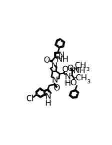 CNC(=O)[C@@H](NC(=O)C1CN(C(=O)Cc2c[nH]c3cc(Cl)ccc23)CC2CN(C(=O)c3cc(-c4ccccc4)n[nH]3)CC21)[C@H](C)OCc1ccccc1